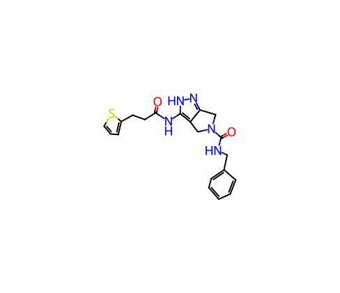 O=C(CCc1cccs1)Nc1[nH]nc2c1CN(C(=O)NCc1ccccc1)C2